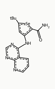 CC(C)(C)c1cc(Nc2ncnc3ncccc23)c(C(N)=O)[se]1